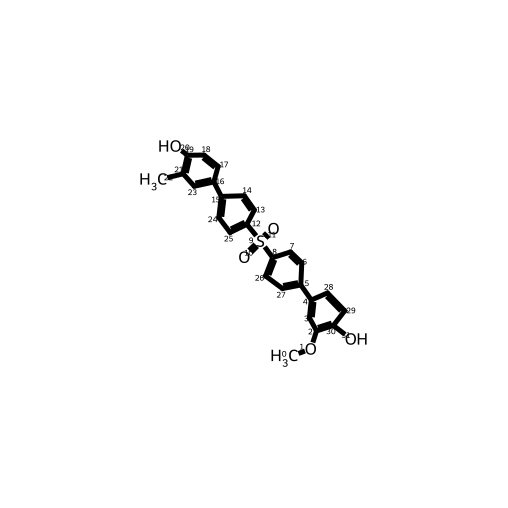 COc1cc(-c2ccc(S(=O)(=O)c3ccc(-c4ccc(O)c(C)c4)cc3)cc2)ccc1O